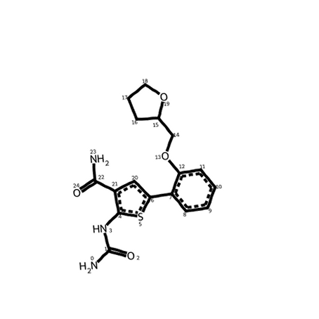 NC(=O)Nc1sc(-c2ccccc2OCC2CCCO2)cc1C(N)=O